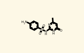 Cc1cc(=O)[nH]c(NS(=O)(=O)c2ccc(N)cc2)n1